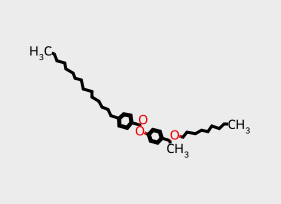 CCCCCCCCCCCCCCCc1ccc(C(=O)Oc2ccc(C(C)OCCCCCCCCC)cc2)cc1